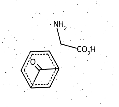 NCC(=O)O.O=C1c2cccc1c2